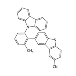 Cc1cccc(-n2c3ccccc3c3ccccc32)c1-c1ccc2sc3ccc(C#N)cc3c2c1